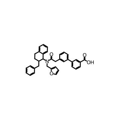 O=C(O)c1cccc(-c2cccc(CC(=O)N(Cc3ccco3)C3c4ccccc4CCC3Cc3ccccc3)c2)c1